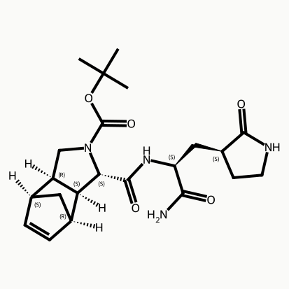 CC(C)(C)OC(=O)N1C[C@H]2[C@@H]([C@H]1C(=O)N[C@@H](C[C@@H]1CCNC1=O)C(N)=O)[C@H]1C=C[C@@H]2C1